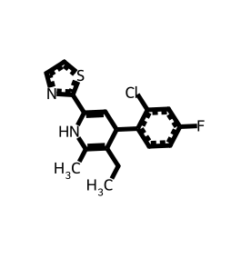 CCC1=C(C)NC(c2nccs2)=CC1c1ccc(F)cc1Cl